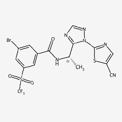 C[C@H](NC(=O)c1cc(Br)cc(S(=O)(=O)C(F)(F)F)c1)c1ncnn1-c1ncc(C#N)s1